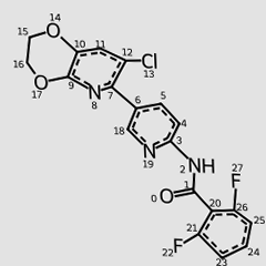 O=C(Nc1ccc(-c2nc3c(cc2Cl)OCCO3)cn1)c1c(F)cccc1F